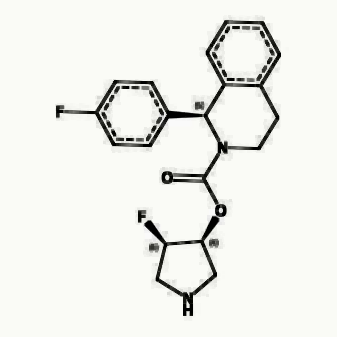 O=C(O[C@H]1CNC[C@H]1F)N1CCc2ccccc2[C@@H]1c1ccc(F)cc1